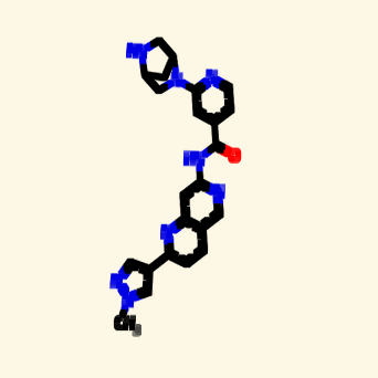 Cn1cc(-c2ccc3cnc(NC(=O)c4ccnc(N5CC6CC5CN6)c4)cc3n2)cn1